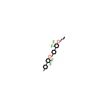 C=CCCOc1ccc(-c2ccc(COc3ccc(-c4ccc(C)cc4)c(F)c3F)cc2)c(F)c1F